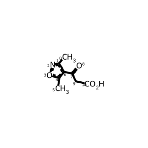 Cc1noc(C)c1C(=O)CC(=O)O